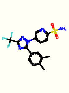 Cc1ccc(-c2nc(C(F)(F)F)nn2-c2ccc(S(N)(=O)=O)nc2)cc1C